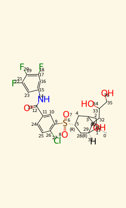 C[C@H]1CC2C[C@@H](S(=O)(=O)c3cc(C(=O)Nc4cc(F)c(F)c(F)c4)ccc3Cl)C[C@H]1[C@@]2(O)CC(O)CO